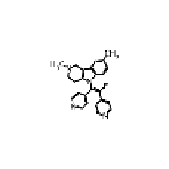 Cc1ccc2c(c1)c1c(n2C(=C(F)c2ccncc2)c2ccncc2)CCN(C)C1